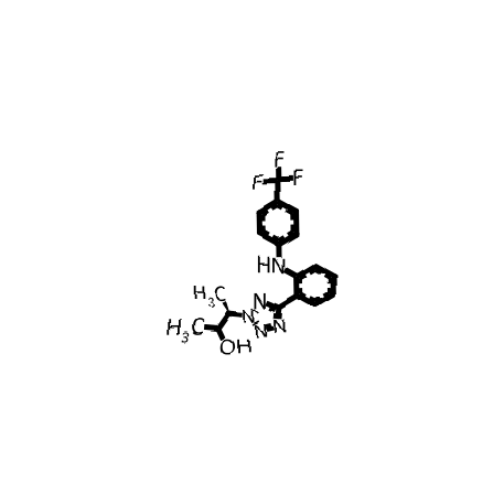 CC(O)[C@@H](C)n1nnc(-c2ccccc2Nc2ccc(C(F)(F)F)cc2)n1